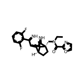 CCN(C[C@@]12CC[C@@H](/C(=C/C(=N)c3c(F)cccc3F)C1=N)C2(C)C)C(=O)c1ncco1